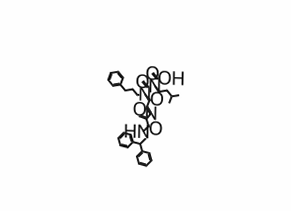 CC(C)CCN(C(=O)O)C(=O)N(CCCc1ccccc1)C(=O)c1nc(C(=O)NCC(c2ccccc2)c2ccccc2)co1